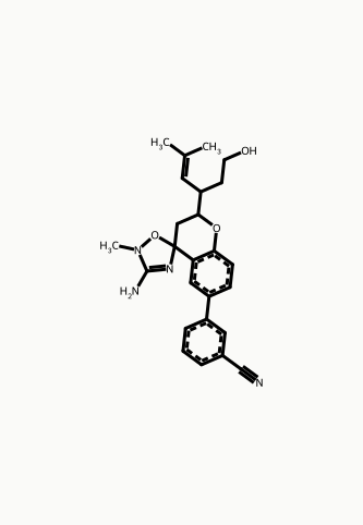 CC(C)=CC(CCO)C1CC2(N=C(N)N(C)O2)c2cc(-c3cccc(C#N)c3)ccc2O1